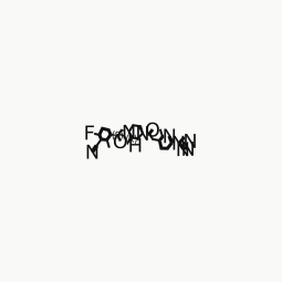 Cc1nc(-n2cnnn2)ccc1CC(=O)N1CCN2C[C@H](c3ccc(F)c(C#N)c3C)OC[C@H]2C1